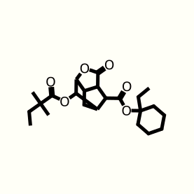 CCC1(OC(=O)C2C3CC4C(OC(=O)C42)C3OC(=O)C(C)(C)CC)CCCCC1